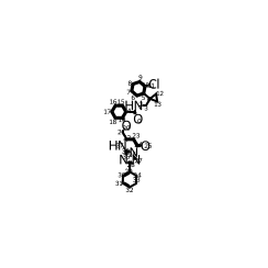 O=C(NCC1(c2ccccc2Cl)CC1)c1ccccc1OCc1cc(=O)n2nc(C3=CC=CCC3)nc2[nH]1